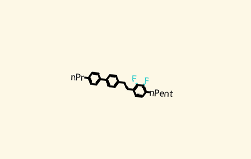 CCCCCc1ccc(CCc2ccc(-c3ccc(CCC)cc3)cc2)c(F)c1F